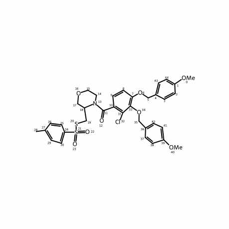 COc1ccc(COc2ccc(C(=O)N3CCOCC3CSS(=O)(=O)c3ccc(C)cc3)c(Cl)c2OCc2ccc(OC)cc2)cc1